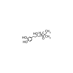 CCC(C)(C)C(=O)OCC(O)CCc1ccc(O)c(O)c1